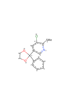 CSc1ncc(C2(c3ccccc3)OCCO2)cc1Cl